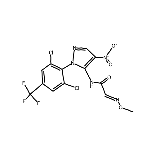 CO/N=C/C(=O)Nc1c([N+](=O)[O-])cnn1-c1c(Cl)cc(C(F)(F)F)cc1Cl